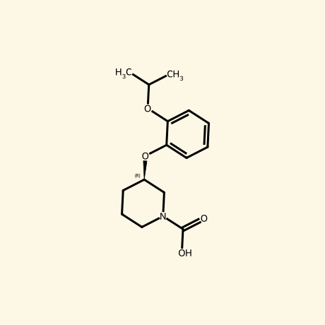 CC(C)Oc1ccccc1O[C@@H]1CCCN(C(=O)O)C1